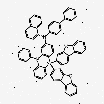 c1ccc(-c2ccc(N(c3ccc4c(c3)N(c3ccccc3)c3ccccc3[Si]4(c3ccc4c(c3)oc3ccccc34)c3ccc4c(c3)oc3ccccc34)c3cccc4ccccc34)cc2)cc1